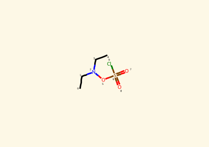 CCN(CC)OS(=O)(=O)Cl